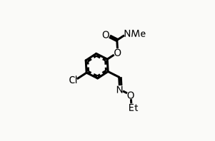 CCO/N=C/c1cc(Cl)ccc1OC(=O)NC